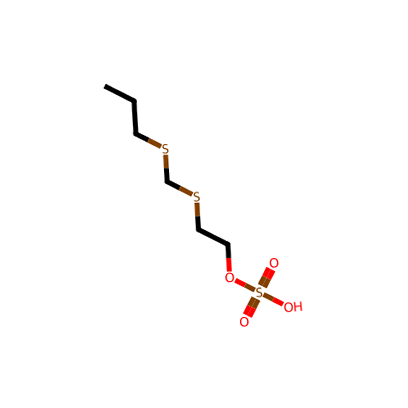 CCCSCSCCOS(=O)(=O)O